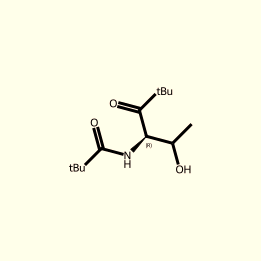 CC(O)[C@@H](NC(=O)C(C)(C)C)C(=O)C(C)(C)C